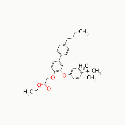 CCCCc1ccc(-c2ccc(OCC(=O)OCC)c(Oc3ccc(C(C)(C)C)cc3)c2)cc1